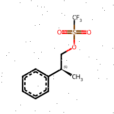 C[C@H](COS(=O)(=O)C(F)(F)F)c1ccccc1